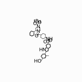 Cc1cc(CO)ccc1-c1cc2ccc(S(=O)(=O)NC3CCC(C(=O)N4CCN(C(=O)OC(C)(C)C)CC4c4ccccc4)CC3)cc2[nH]1